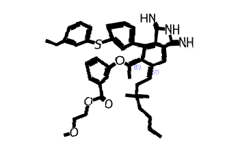 CCCCC(C)(C)C/C=c1/cc2c(c(-c3cccc(Sc4cccc(CC)c4)c3)/c1=C(/C)Oc1cccc(C(=O)OCCOC)c1)C(=N)NC2=N